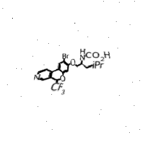 CC(C)C[C@@H](COc1cc2c(cc1Br)-c1ccncc1C(C(F)(F)F)O2)NC(=O)O